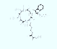 CCCCN1C(=O)[C@H](C(C)CC)NC(=O)[C@H](Cc2cn(OC)c3ccccc23)NC(=O)[C@H](CCCCCC(=O)C(C)O)NC(=O)[C@H]1C